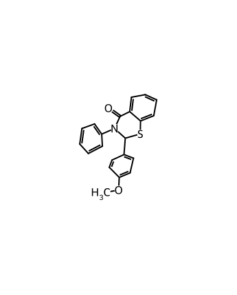 COc1ccc(C2Sc3ccccc3C(=O)N2c2ccccc2)cc1